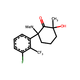 CNC1(c2cccc(F)c2C(F)(F)F)CCCC(C)(O)C1=O